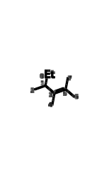 CCC(C)C(C)=C(C)C